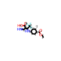 CCOC(=O)[C@H]1CC[C@H](N/C(=C(\C=N)C(=O)O)C(F)(F)F)C[C@@H]1C